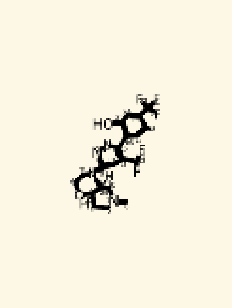 CN1CC[C@H]2OCCN(c3cc(C(F)F)c(-c4ccc(C(F)(F)F)cc4O)nn3)[C@H]2C1